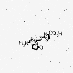 CCC(C)C(N)[C@H]1CCC(=O)N1CCSc1nc(C(=O)O)cs1